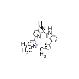 C=C/N=C\C(=C/C)c1ccc2[nH]nc(-c3cc4c(-c5ccc(C)s5)cccc4[nH]3)c2n1